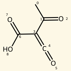 CC(=O)C(=C=O)C(=O)O